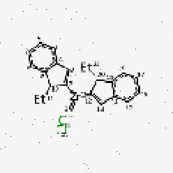 [CH2]=[Zr+2]([C]1=Cc2ccccc2[C@@H]1CC)[C]1=Cc2ccccc2[C@H]1CC.[Cl-].[Cl-]